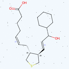 O=C(O)CCC/C=C\C[C@H]1CSC[C@@H]1/C=C/C(O)C1CCCCC1